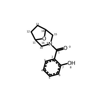 O=C(c1ccccc1O)N1CC2CCC(C1)O2